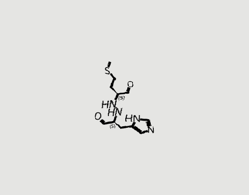 CSCC[C@@H](C=O)NN[C@H](C=O)Cc1cnc[nH]1